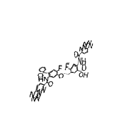 O=C(Nc1cc(OCCc2cc(C(=O)O)c(NC(=O)c3ccc4nnnn4n3)cc2F)c(F)cc1C(=O)O)c1ccc2nnnn2n1